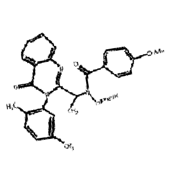 CCCCCN(C(=O)c1ccc(OC)cc1)C(C)c1nc2ccccc2c(=O)n1-c1cc(C)ccc1C